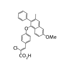 COc1ccc2c(Oc3ccc(/C=C(\Cl)C(=O)O)cc3)c(-c3ccccc3)c(C)cc2c1